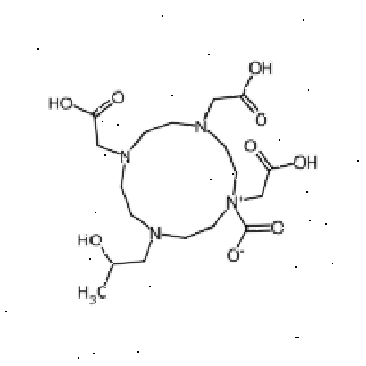 CC(O)CN1CCN(CC(=O)O)CCN(CC(=O)O)CC[N+](CC(=O)O)(C(=O)[O-])CC1